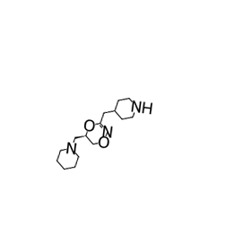 C1CCN(C[C@@H]2CON=C(CC3CCNCC3)O2)CC1